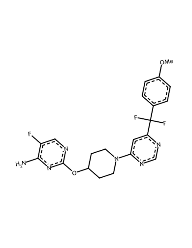 COc1ccc(C(F)(F)c2cc(N3CCC(Oc4ncc(F)c(N)n4)CC3)ncn2)cc1